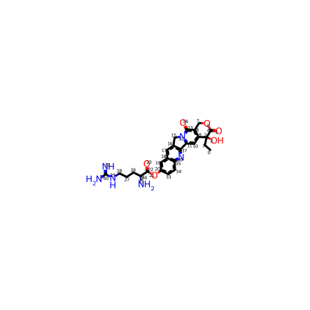 CCC1(O)C(=O)OCc2c1cc1n(c2=O)Cc2cc3cc(OC(=O)[C@@H](N)CCCNC(=N)N)ccc3nc2-1